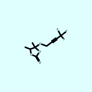 CC1OC(=O)OC1(C)OCC#CC(F)(F)F